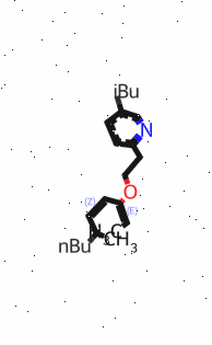 C/C=C(\C=C/C(C)CCCC)OCCc1ccc(C(C)CC)cn1